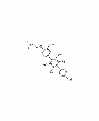 COc1cc(-c2c(O)c(OC)c(-c3ccc(O)cc3)c(Cl)c2OC)ccc1OCC=C(C)C